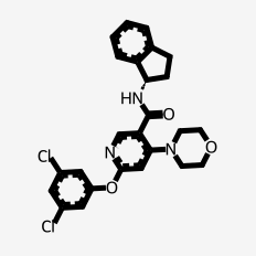 O=C(N[C@H]1CCc2ccccc21)c1cnc(Oc2cc(Cl)cc(Cl)c2)cc1N1CCOCC1